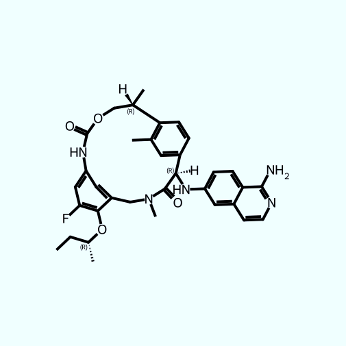 CC[C@@H](C)Oc1c(F)cc2cc1CN(C)C(=O)[C@H](Nc1ccc3c(N)nccc3c1)c1ccc(c(C)c1)[C@@H](C)COC(=O)N2